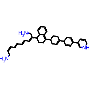 NC\C=C/C=C/C=C/C=C(\CN)C1CCC(C2CC=C(C3C=CC(C4=CNCC=C4)=CC3)CC2)=C2C=CC=CC21